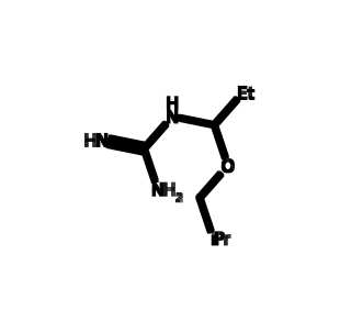 CCC(NC(=N)N)OCC(C)C